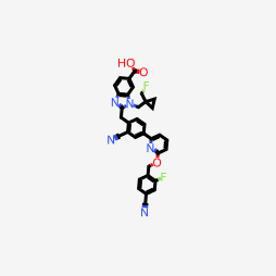 N#Cc1ccc(COc2cccc(-c3ccc(Cc4nc5ccc(C(=O)O)cc5n4CC4(CF)CC4)c(C#N)c3)n2)c(F)c1